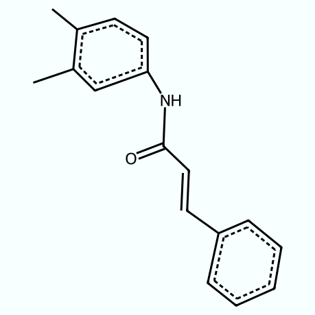 Cc1ccc(NC(=O)/C=C/c2ccccc2)cc1C